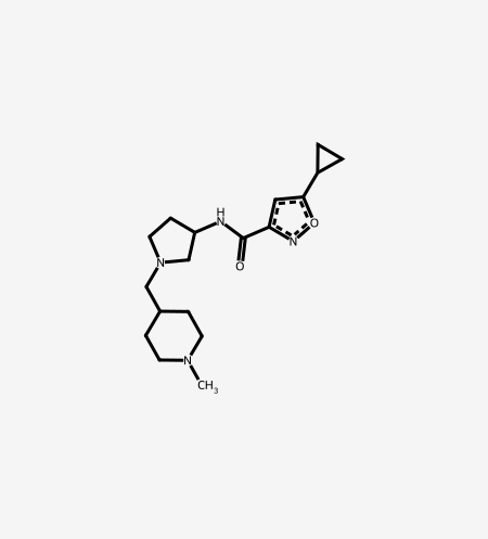 CN1CCC(CN2CCC(NC(=O)c3cc(C4CC4)on3)C2)CC1